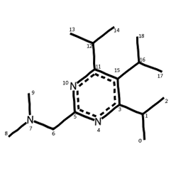 CC(C)c1nc(CN(C)C)nc(C(C)C)c1C(C)C